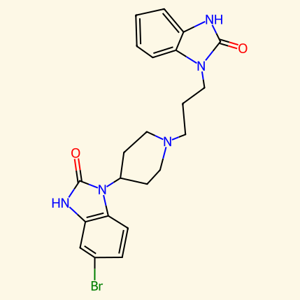 O=c1[nH]c2ccccc2n1CCCN1CCC(n2c(=O)[nH]c3cc(Br)ccc32)CC1